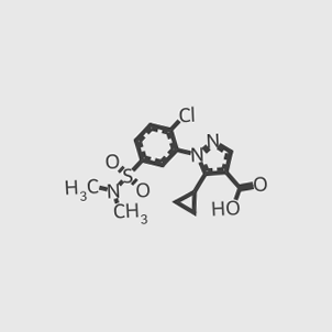 CN(C)S(=O)(=O)c1ccc(Cl)c(-n2ncc(C(=O)O)c2C2CC2)c1